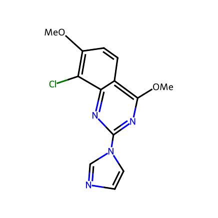 COc1ccc2c(OC)nc(-n3ccnc3)nc2c1Cl